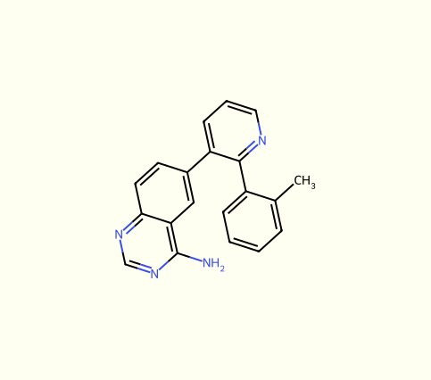 Cc1ccccc1-c1ncccc1-c1ccc2ncnc(N)c2c1